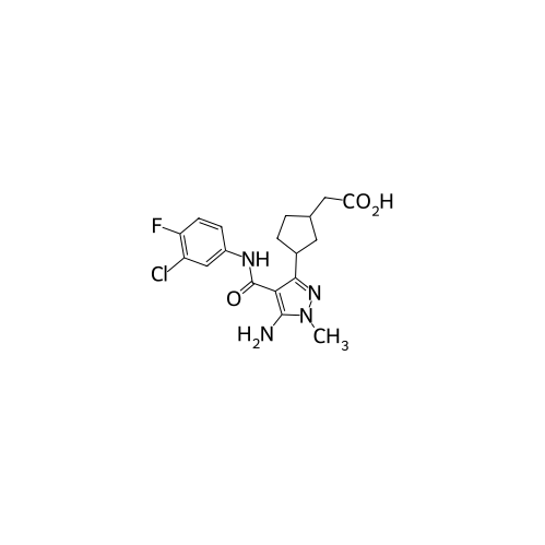 Cn1nc(C2CCC(CC(=O)O)C2)c(C(=O)Nc2ccc(F)c(Cl)c2)c1N